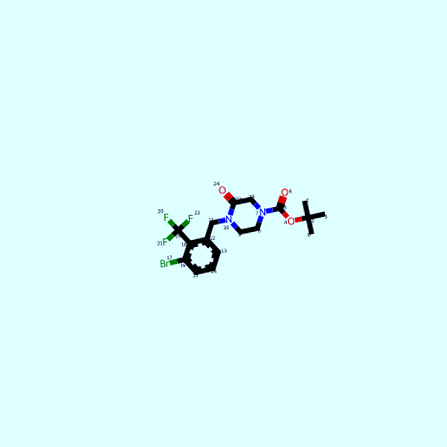 CC(C)(C)OC(=O)N1CCN(Cc2cccc(Br)c2C(F)(F)F)C(=O)C1